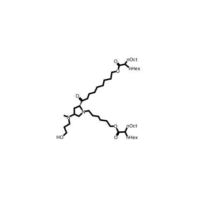 CCCCCCCCC(CCCCCC)C(=O)OCCCCCCCCC(=O)[C@@H]1CC(N(C)CCCO)CN1CCCCCCOC(=O)C(CCCCCC)CCCCCCCC